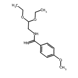 CCOC(CNC(=N)c1ccc(OC)cc1)OCC